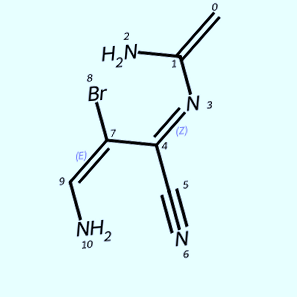 C=C(N)/N=C(C#N)\C(Br)=C/N